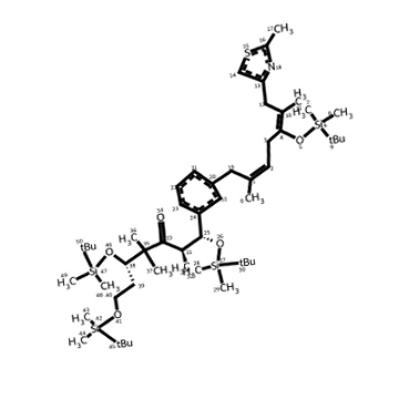 C/C(=C/C/C(O[Si](C)(C)C(C)(C)C)=C(/C)Cc1csc(C)n1)Cc1cccc([C@H](O[Si](C)(C)C(C)(C)C)[C@@H](C)C(=O)C(C)(C)[C@H](CCO[Si](C)(C)C(C)(C)C)O[Si](C)(C)C(C)(C)C)c1